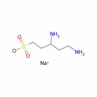 NCCC(N)CCS(=O)(=O)[O-].[Na+]